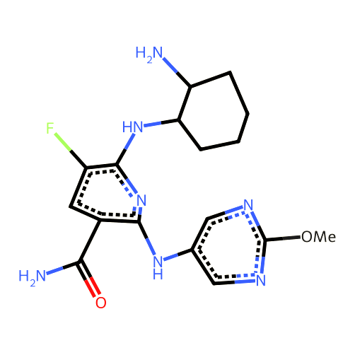 COc1ncc(Nc2nc(NC3CCCCC3N)c(F)cc2C(N)=O)cn1